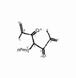 [CH2]CCCC[C](C(=O)C(=C)C)C(=O)C(=C)C